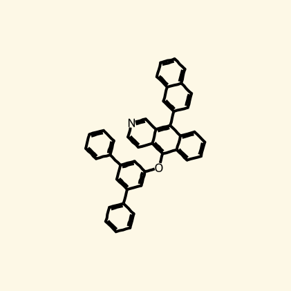 c1ccc(-c2cc(Oc3c4ccccc4c(-c4ccc5ccccc5c4)c4cnccc34)cc(-c3ccccc3)c2)cc1